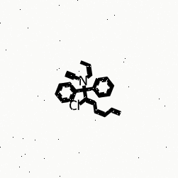 C#CN(/C=C\C)C(/C(Cl)=C/C=C\C=C)(c1ccccc1)c1ccccc1